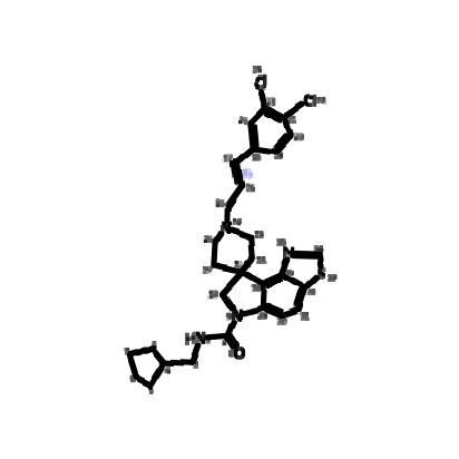 O=C(NCC1CCCC1)N1CC2(CCN(C/C=C/c3ccc(Cl)c(Cl)c3)CC2)c2c1ccc1scnc21